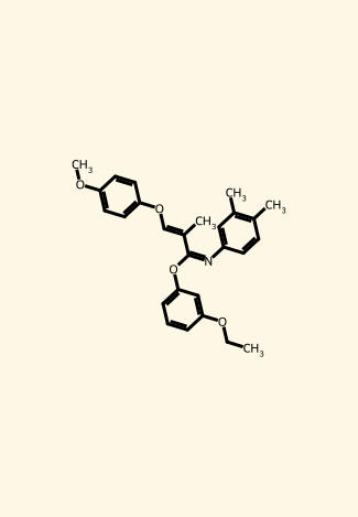 CCOc1cccc(OC(=Nc2ccc(C)c(C)c2)C(C)=COc2ccc(OC)cc2)c1